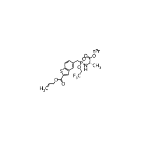 C=CCOC(=O)c1cc2cc(CP(=O)(N[C@@H](C)C(=O)OCCC)OCC(F)(F)F)ccc2s1